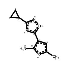 Cc1cc(-c2nc(C3CC3)no2)c(N)s1